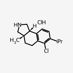 CC(C)c1ccc2c(c1Cl)CC[C@]1(C)CNC[C@H]21.Cl